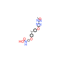 Cc1nc(-c2ncc(Oc3ccc(C(C)c4ccc(O[C@H]5C[C@H](NC(=O)O)C5)cc4)cc3)cn2)no1